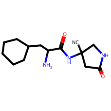 N#CC1(NC(=O)C(N)CC2CCCCC2)CNC(=O)C1